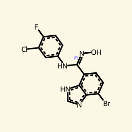 O/N=C(/Nc1ccc(F)c(Cl)c1)c1ccc(Br)c2nc[nH]c12